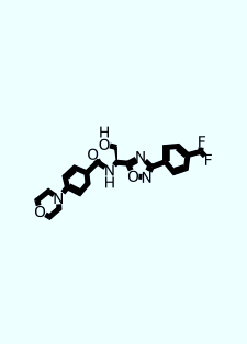 O=C(N[C@@H](CO)c1nc(-c2ccc(C(F)F)cc2)no1)C1C=CC(N2CCOCC2)=CC1